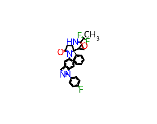 CC(F)(F)C(=O)N[C@H]1CC(=O)N(c2ccc3c(cnn3-c3ccc(F)cc3)c2)[C@@]1(c1ccccc1)C1CC1